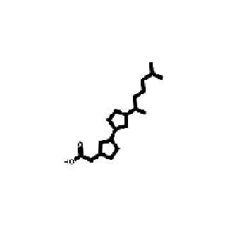 CC(C)CCCC(C)C1CCC(C2CCC(CC(=O)O)C2)C1